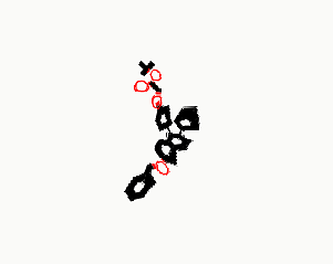 CC(C)(C)OC(=O)COc1ccc([C@@H]2c3ccc(OCc4ccccc4)cc3CC[C@@H]2c2ccccc2)cc1